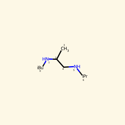 CCC(C)NC(C)CNC(C)C